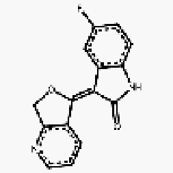 O=C1Nc2ccc(F)cc2C1=C1OCc2n[c]ccc21